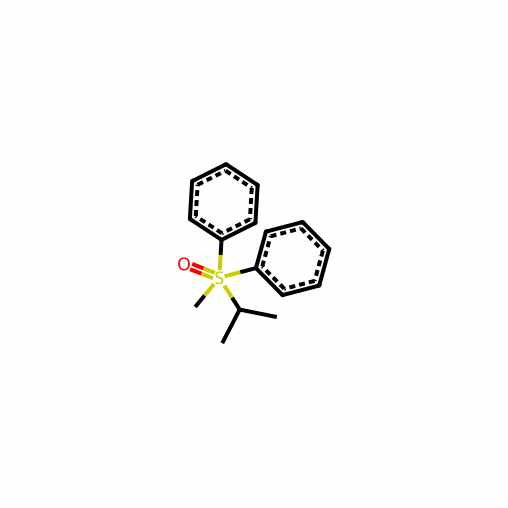 CC(C)S(C)(=O)(c1ccccc1)c1ccccc1